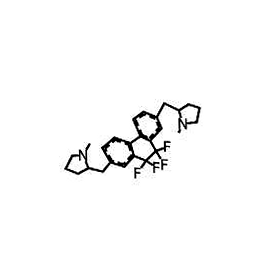 CN1CCCC1Cc1ccc2c(c1)C(F)(F)C(F)(F)c1cc(CC3CCCN3C)ccc1-2